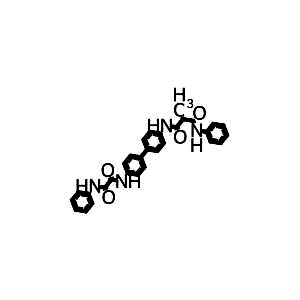 CC(C(=O)Nc1ccccc1)C(=O)Nc1ccc(-c2ccc(NC(=O)C(=O)Nc3ccccc3)cc2)cc1